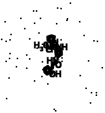 CN(C)c1cc(N[C@H]2CC[C@@H](CNC(=O)CCc3ccccc3O)CC2)nc2ccccc12